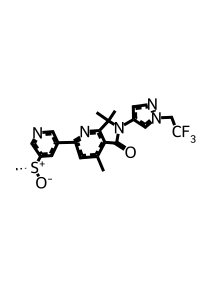 Cc1cc(-c2cncc([S@@+](C)[O-])c2)nc2c1C(=O)N(c1cnn(CC(F)(F)F)c1)C2(C)C